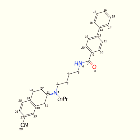 CCCN(CCCCNC(=O)c1ccc(-c2ccccc2)cc1)[C@@H]1CCc2ccc(C#N)cc2C1